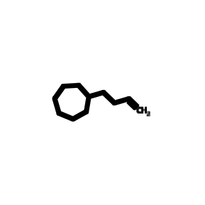 C=CCCC1CCCCCC1